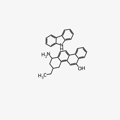 CCC1Cc2c(ccc3c2cc(O)c2ccccc23)C(N)C1.c1ccc2c(c1)[nH]c1ccccc12